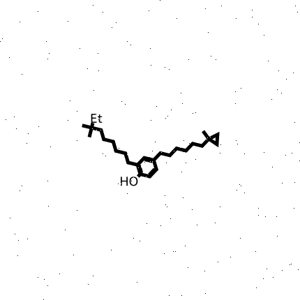 CCC(C)(C)CCCCCCc1cc(CCCCCCC2(C)CC2)ccc1O